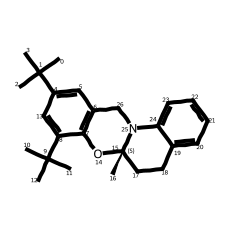 CC(C)(C)c1cc2c(c(C(C)(C)C)c1)O[C@@]1(C)CCc3ccccc3N1C2